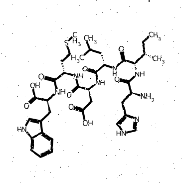 CC[C@H](C)[C@H](NC(=O)[C@@H](N)Cc1c[nH]cn1)C(=O)N[C@@H](CC(C)C)C(=O)N[C@@H](CC(=O)O)C(=O)N[C@@H](CCSC)C(=O)N[C@@H](Cc1c[nH]c2ccccc12)C(=O)O